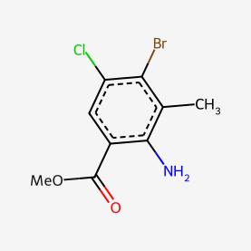 COC(=O)c1cc(Cl)c(Br)c(C)c1N